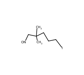 CC(C)(CCCI)CN=O